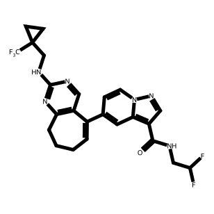 O=C(NCC(F)F)c1cnn2ccc(C3=CCCCc4nc(NCC5(C(F)(F)F)CC5)ncc43)cc12